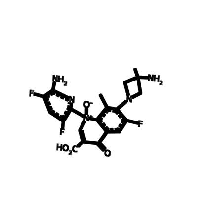 Cc1c(N2CC(C)(N)C2)c(F)cc2c1[N+]([O-])(c1nc(N)c(F)cc1F)C=C(C(=O)O)C2=O